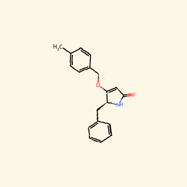 Cc1ccc(COC2=CC(=O)N[C@H]2Cc2ccccc2)cc1